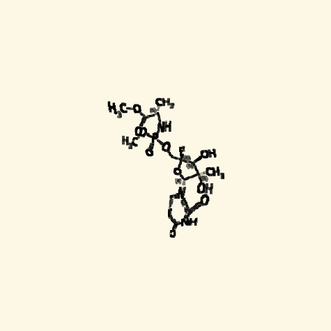 COC(=O)[C@H](C)NP(=O)(OC)OC[C@@]1(F)O[C@@H](n2ccc(=O)[nH]c2=O)[C@](C)(O)[C@@H]1O